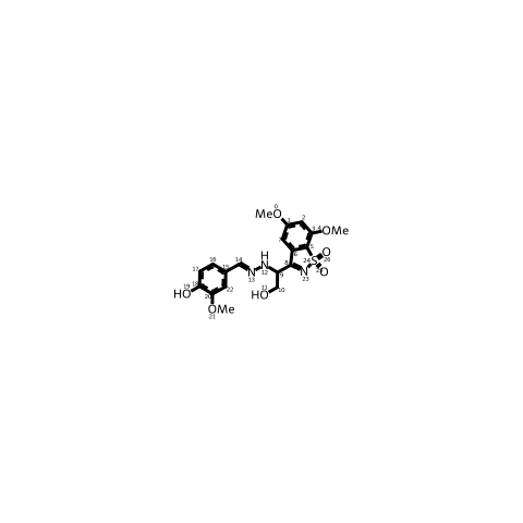 COc1cc(OC)c2c(c1)C(C(CO)N/N=C/c1ccc(O)c(OC)c1)=NS2(=O)=O